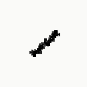 CC(C)(C)NCC(O)COc1ccc(CCNC(=O)COc2ccc(C3=NNC(=O)CC3)cc2)cc1